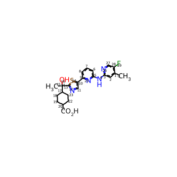 Cc1cc(Nc2cccc(-c3cnc([C@@](C)(O)C4CCC(C(=O)O)CC4)s3)n2)ncc1F